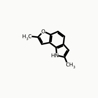 Cc1cc2ccc3oc(C)cc3c2[nH]1